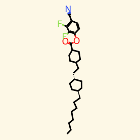 CCCCCCCC[C@H]1CC[C@H](CCC2CCC(C(=O)Oc3ccc(C#N)c(F)c3F)CC2)CC1